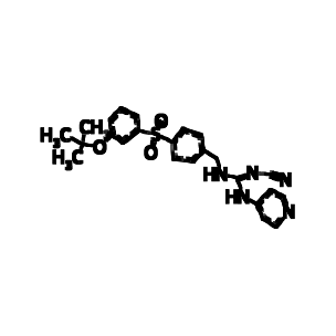 CC(C)(C)Oc1cccc(S(=O)(=O)c2ccc(CNC(=NC#N)Nc3ccncc3)cc2)c1